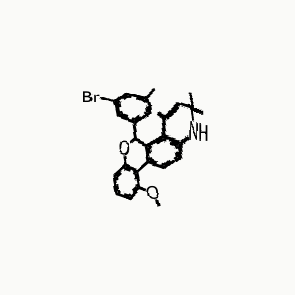 COc1cccc2c1-c1ccc3c(c1C(c1cc(C)cc(Br)c1)O2)C(C)=CC(C)(C)N3